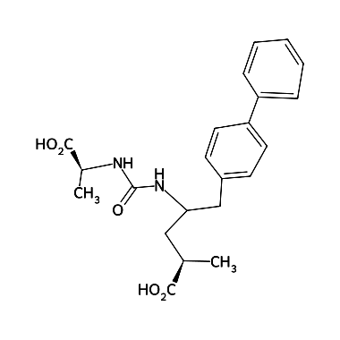 C[C@H](CC(Cc1ccc(-c2ccccc2)cc1)NC(=O)N[C@@H](C)C(=O)O)C(=O)O